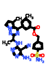 Cc1cc(C(=O)OCc2ccc(S(N)(=O)=O)cc2)cc(-c2nc(C(C)Nc3ncnc(N)c3C#N)nn3ccc(C)c23)c1